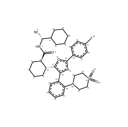 N#C[C@@H](NC(=O)[C@@H]1CCCC[C@H]1c1oc(-c2ccc(F)cc2)nc1-c1ccccc1N1CCS(=O)(=O)CC1)C1CCCCC1